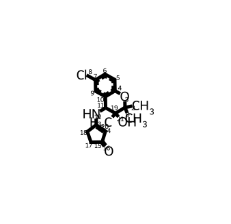 CC1(C)Oc2ccc(Cl)cc2C(NC2=CC(=O)CC2)C1(C)O